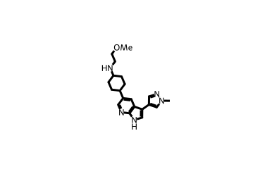 COCCNC1CCC(c2cnc3[nH]cc(-c4cnn(C)c4)c3c2)CC1